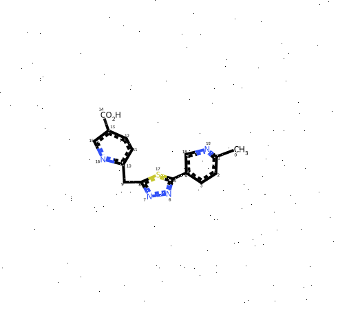 Cc1ccc(-c2nnc(Cc3ccc(C(=O)O)cn3)s2)cn1